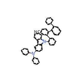 N#Cc1ccc(-c2ccccc2-c2ccccc2)c(-c2ccccc2-n2c3ccccc3c3cc(N(c4ccccc4)c4ccccc4)ccc32)c1